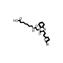 O=C(O)CCCCCCNC(=O)Cn1c(=O)c(/C=C/c2ccc(Br)s2)nc2ccccc21